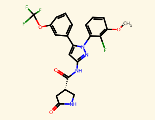 COc1cccc(-n2nc(NC(=O)[C@@H]3CNC(=O)C3)cc2-c2cccc(OC(F)(F)F)c2)c1F